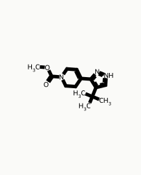 COC(=O)N1CC=C(c2n[nH]cc2C(C)(C)C)CC1